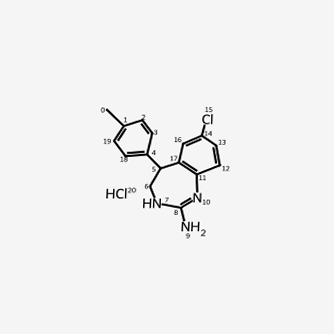 Cc1ccc(C2CNC(N)=Nc3ccc(Cl)cc32)cc1.Cl